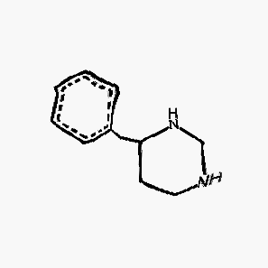 c1ccc(C2CCNCN2)cc1